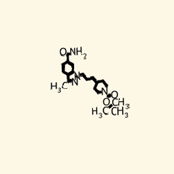 Cc1nn(CCCC2CCN(C(=O)OC(C)(C)C)CC2)c2cc(C(N)=O)ccc12